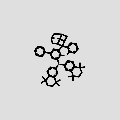 CC1(C)CCC(C)(C)c2cc(N(c3ccc4c(c3)C(C)(C)CCC4(C)C)c3cc(-c4ccccc4)cc4c3Oc3ccccc3C43C4CC5CC6CC3C64C5)ccc21